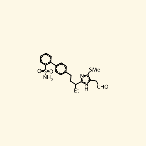 CCC(CCc1ccc(-c2ccccc2S(N)(=O)=O)cc1)c1nc(SC)c(CC=O)[nH]1